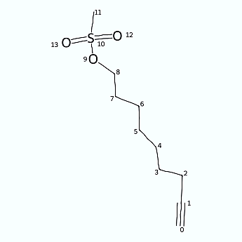 C#CCCCCCCCOS(C)(=O)=O